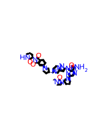 CN1CCN([C@H]2CCCN(c3cnc(C(N)=O)c(Nc4cc5n(n4)CCN(C[C@@H]4CCN(c6ccc7c(c6)C(=O)N(C6CCCNC6=O)C7=O)C4)C5)n3)C2)C1=O